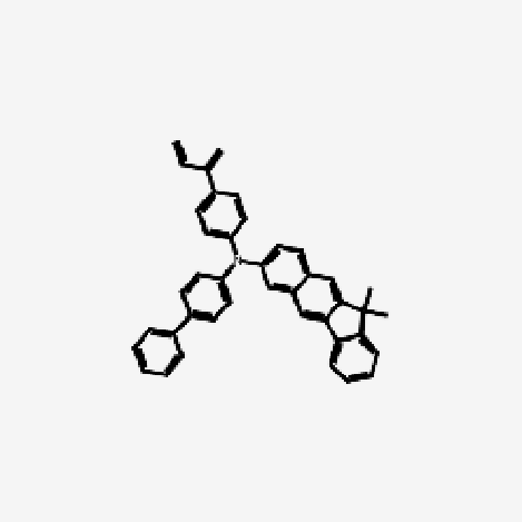 C=CC(=C)c1ccc(N(c2ccc(-c3ccccc3)cc2)c2ccc3cc4c(cc3c2)-c2ccccc2C4(C)C)cc1